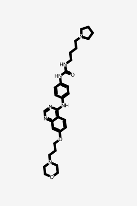 O=C(NCCCCN1CCCC1)Nc1ccc(Nc2ncnc3cc(OCCCN4CCOCC4)ccc23)cc1